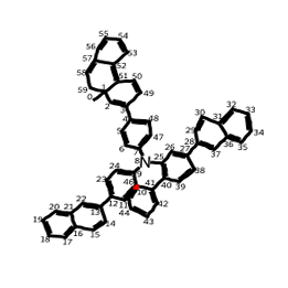 CC12C=C(c3ccc(N(c4ccc(-c5ccc6ccccc6c5)cc4)c4cc(-c5ccc6ccccc6c5)ccc4-c4ccccc4)cc3)C=CC1=c1ccccc1=CC2